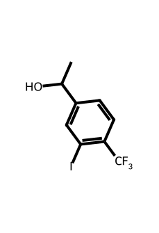 CC(O)c1ccc(C(F)(F)F)c(I)c1